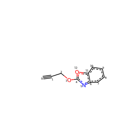 C#CCOc1nc2ccccc2o1